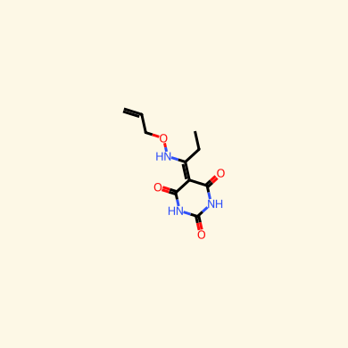 C=CCONC(CC)=C1C(=O)NC(=O)NC1=O